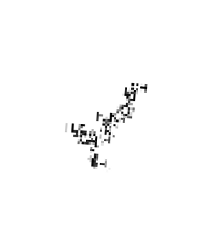 COCCCn1c(C2CCCN(C(=O)C[C@H](N)Cc3ccc(-c4ccc(O)nc4)cc3)C2)cc2c(C)cccc21